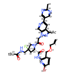 C=CCOCc1ccc(Br)nc1NC(=O)[C@@H]1C[C@](F)(CNC(=O)C(C)(C)C)CN1C(=O)Cn1nc(C(C)=O)c2cc(-c3cnc(C)nc3)ncc21